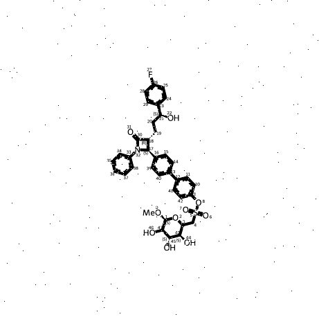 CO[C@H]1OC(CS(=O)(=O)Oc2ccc(-c3ccc([C@@H]4[C@@H](CC[C@H](O)c5ccc(F)cc5)C(=O)N4c4ccccc4)cc3)cc2)[C@@H](O)[C@H](O)C1O